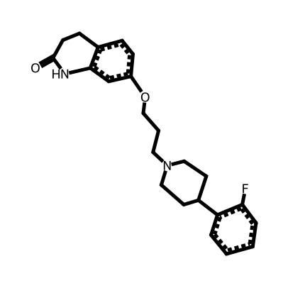 O=C1CCc2ccc(OCCCN3CCC(c4ccccc4F)CC3)cc2N1